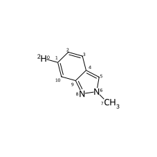 [2H]c1ccc2cn(C)nc2c1